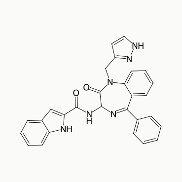 O=C(NC1N=C(c2ccccc2)c2ccccc2N(Cc2cc[nH]n2)C1=O)c1cc2ccccc2[nH]1